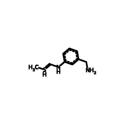 C[SH]=CNc1cccc(CN)c1